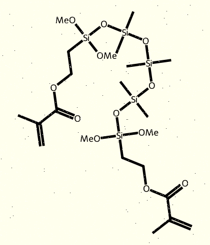 C=C(C)C(=O)OCC[Si](OC)(OC)O[Si](C)(C)O[Si](C)(C)O[Si](C)(C)O[Si](CCOC(=O)C(=C)C)(OC)OC